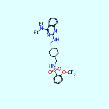 CCN(CC)c1nc(NC[C@H]2CC[C@H](CNS(=O)(=O)c3ccccc3OC(F)(F)F)CC2)nc2ccccc12